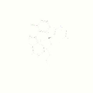 COCCCCC(O)(c1cccc(Cl)c1-c1csc2ccccc12)[C@H]1CNCCO1